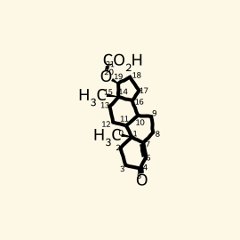 C[C@]12CCC(=O)C=C1CCC1C2CC[C@@]2(C)C1CC[C@@H]2OC(=O)O